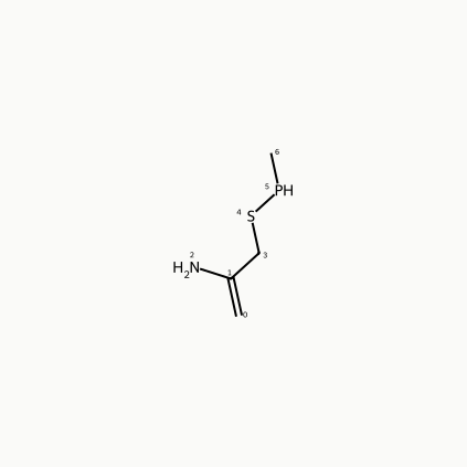 C=C(N)CSPC